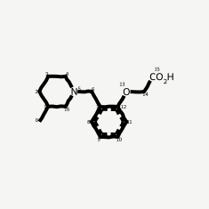 CC1CCCN(Cc2ccccc2OCC(=O)O)C1